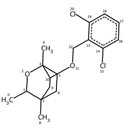 CC1OC2(C)CCC1(C)CC2OCc1c(Cl)cccc1Cl